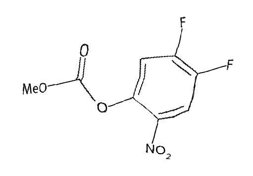 COC(=O)Oc1cc(F)c(F)cc1[N+](=O)[O-]